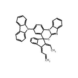 C=C/C=C1\C(=C/C)C2(Sc3nc4ccccc4n3-c3ccc(-n4c5ccccc5c5ccccc54)cc32)c2ccccc21